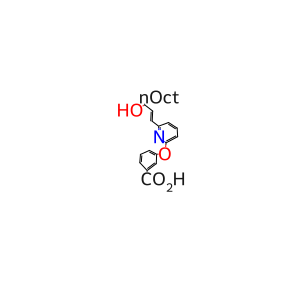 CCCCCCCCC(O)C=Cc1cccc(Oc2cccc(C(=O)O)c2)n1